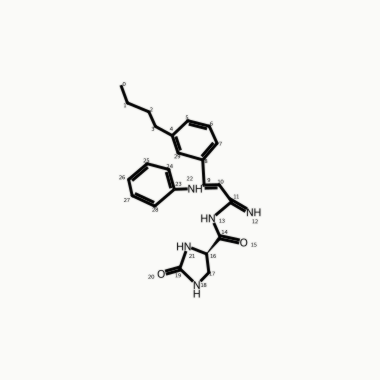 CCCCc1cccc(/C(=C/C(=N)NC(=O)[C@H]2CNC(=O)N2)Nc2ccccc2)c1